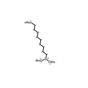 CCCCCCCCCCCCCCCCCC[Si](OC)OC